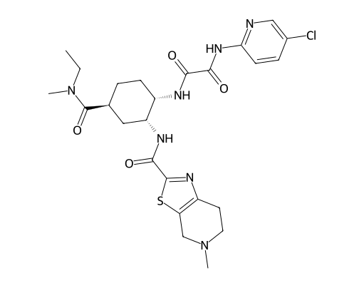 CCN(C)C(=O)[C@H]1CC[C@H](NC(=O)C(=O)Nc2ccc(Cl)cn2)[C@H](NC(=O)c2nc3c(s2)CN(C)CC3)C1